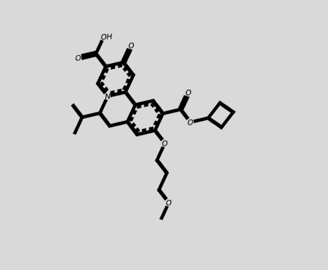 COCCCOc1cc2c(cc1C(=O)OC1CCC1)-c1cc(=O)c(C(=O)O)cn1C(C(C)C)C2